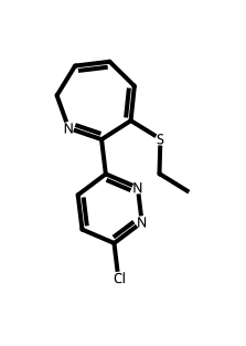 CCSC1=CC=CCN=C1c1ccc(Cl)nn1